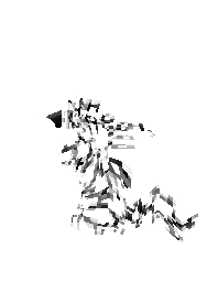 CN/C1=C(\C=N)NC(=O)C(C)CCCC(n2cnc(-c3cc(Cl)ccc3-c3cnn(-c4ccc(F)cc4)c3)cc2=O)c2cc1ccn2